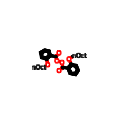 CCCCCCCCOc1ccccc1C(=O)OOC(=O)c1ccccc1OCCCCCCCC